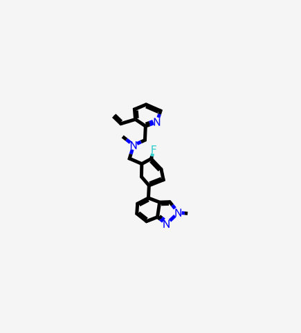 C=Cc1cccnc1CN(C)CC1CC(c2cccc3nn(C)cc23)=CC=C1F